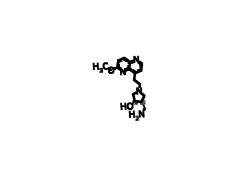 COc1ccc2nccc(CCN3C[C@H](CN)[C@H](O)C3)c2n1